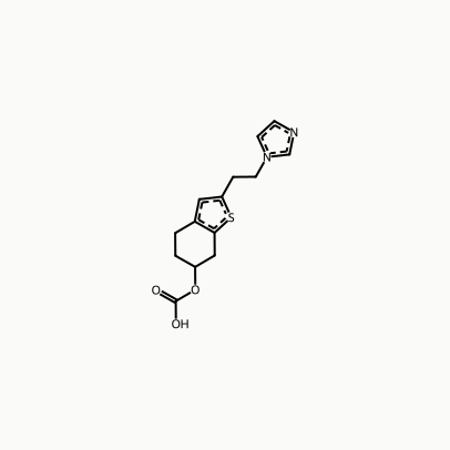 O=C(O)OC1CCc2cc(CCn3ccnc3)sc2C1